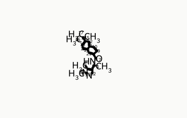 Cc1c(C(C)NC(=O)c2ccc3cc(C(C)(C)C)ccc3c2)cnn1C